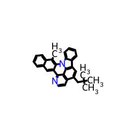 Cc1c2ccccc2cc2c3nccc4c(CC(C)(C)C)cc5c6ccccc6n(c12)c5c43